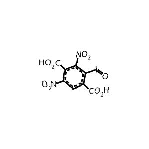 O=Ic1c(C(=O)O)cc([N+](=O)[O-])c(C(=O)O)c1[N+](=O)[O-]